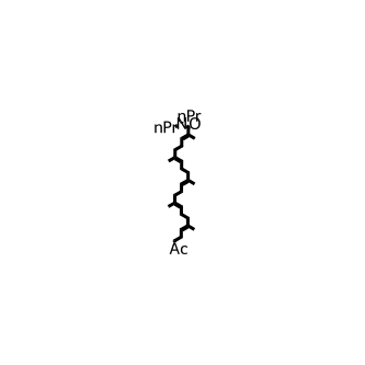 CCCN(CCC)C(=O)C(C)=CCCC(C)=CCCC(C)=CCCC(C)=CCCC(C)=CCCC(C)=O